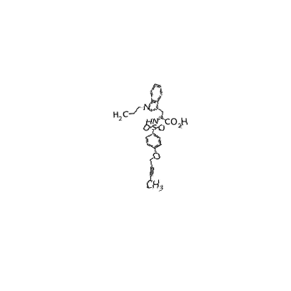 C=CCn1cc(C[C@H](NS(=O)(=O)c2ccc(OCC#CC)cc2)C(=O)O)c2ccccc21